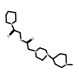 CN1CCC(N2CCN(CC(=O)OCC(=O)N3CCCCC3)CC2)CC1